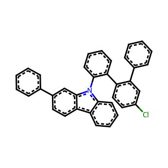 Clc1ccc(-c2ccccc2-n2c3ccccc3c3ccc(-c4ccccc4)cc32)c(-c2ccccc2)c1